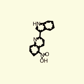 O=[N+](O)c1cccc2nc(-c3c[nH]c4ccccc34)ccc12